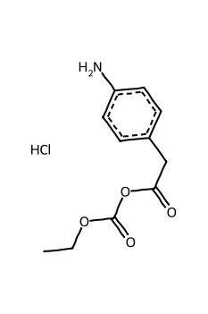 CCOC(=O)OC(=O)Cc1ccc(N)cc1.Cl